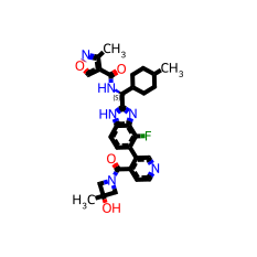 Cc1nocc1C(=O)N[C@H](c1nc2c(F)c(-c3cnccc3C(=O)N3CC(C)(O)C3)ccc2[nH]1)C1CCC(C)CC1